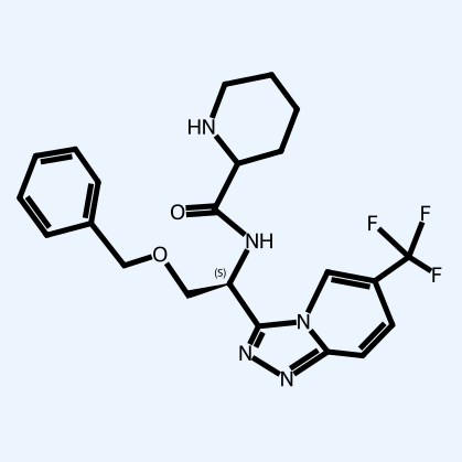 O=C(N[C@H](COCc1ccccc1)c1nnc2ccc(C(F)(F)F)cn12)C1CCCCN1